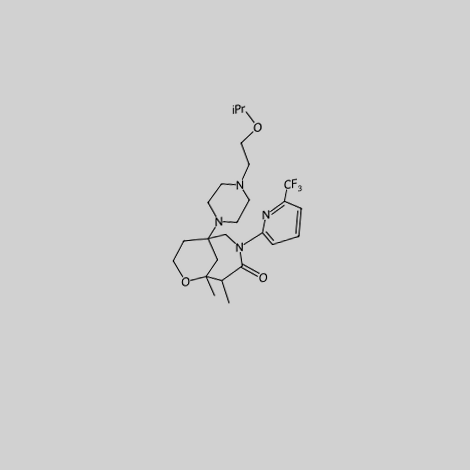 CC(C)OCCN1CCN(C23CCOC(C)(C2)C(C)C(=O)N(c2cccc(C(F)(F)F)n2)C3)CC1